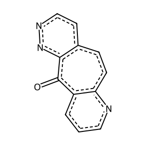 O=c1c2cccnc2ccc2ccnnc12